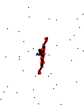 C=CC(=O)OCCCCCCOc1ccc(OC(=O)[C@H]2CC[C@H](C(=O)Oc3ccc(OC(=O)[C@H]4CC[C@H](C(=O)Oc5ccc(OCCCCCCOC(=O)C=C)cc5)CC4)c(/C=N/N(C(C)=O)c4nc5ccccc5s4)c3)CC2)cc1